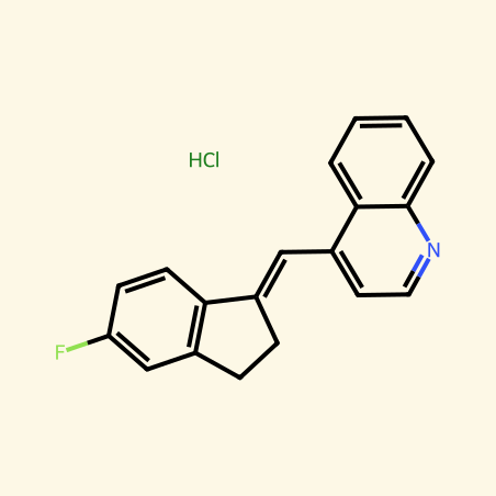 Cl.Fc1ccc2c(c1)CCC2=Cc1ccnc2ccccc12